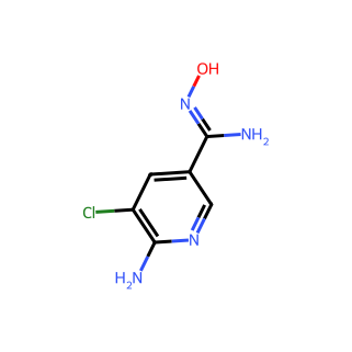 N/C(=N\O)c1cnc(N)c(Cl)c1